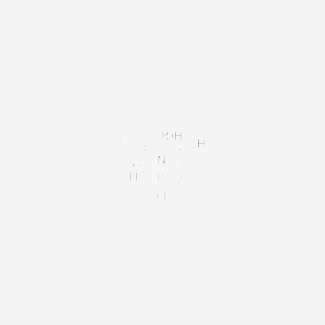 CP(=O)(O)N(P(C)(=O)O)P(C)(=O)O